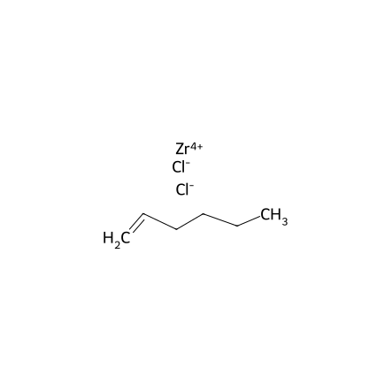 C=CCCCC.[Cl-].[Cl-].[Zr+4]